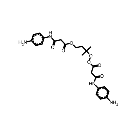 CC(C)(CCOC(=O)CC(=O)Nc1ccc(N)cc1)OOC(=O)CC(=O)Nc1ccc(N)cc1